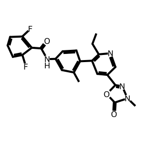 CCc1ncc(-c2nn(C)c(=O)o2)cc1-c1ccc(NC(=O)c2c(F)cccc2F)cc1C